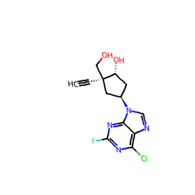 C#C[C@@]1(CO)C[C@H](n2cnc3c(Cl)nc(F)nc32)C[C@H]1O